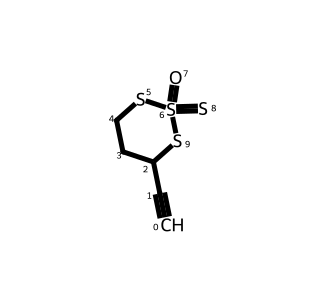 C#CC1CCSS(=O)(=S)S1